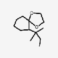 CCC(C)(C)C1CCCCC12OCCO2